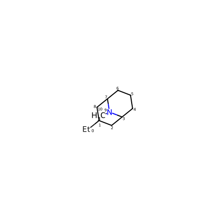 CCC1CC2CCCC(C1)N2C